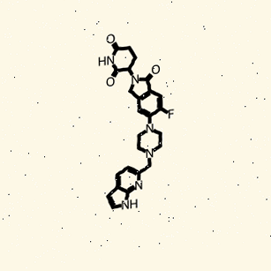 O=C1CCC(N2Cc3cc(N4CCN(Cc5ccc6cc[nH]c6n5)CC4)c(F)cc3C2=O)C(=O)N1